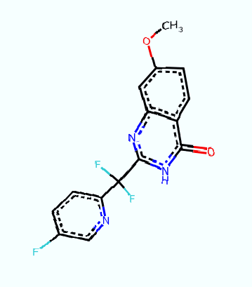 COc1ccc2c(=O)[nH]c(C(F)(F)c3ccc(F)cn3)nc2c1